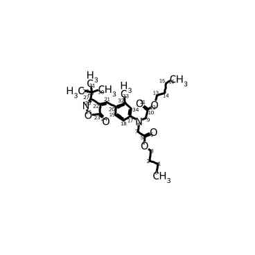 CCCCOC(=O)CN(CC(=O)OCCCC)c1ccc(C=C2C(=O)ON=C2C(C)(C)C)c(C)c1